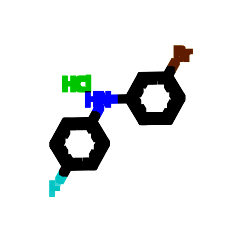 Cl.Fc1ccc(Nc2cccc(Br)c2)cc1